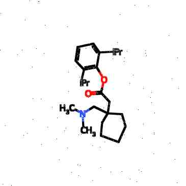 CC(C)c1cccc(C(C)C)c1OC(=O)CC1(CN(C)C)CCCCC1